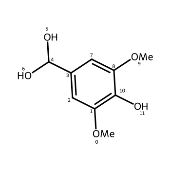 COc1cc(C(O)O)cc(OC)c1O